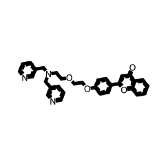 O=c1cc(-c2ccc(OCCOCCN(Cc3cccnc3)Cc3cccnc3)cc2)oc2ccccc12